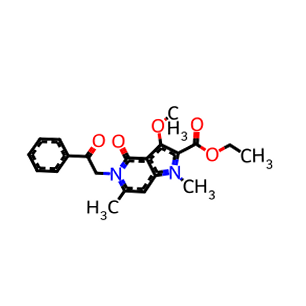 CCOC(=O)c1c(OC)c2c(=O)n(CC(=O)c3ccccc3)c(C)cc2n1C